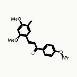 CCCOc1ccc(C(=O)C=Cc2cc(C)c(OC)cc2OC)cc1